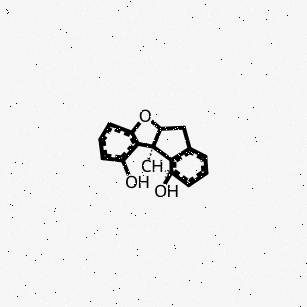 C[C@@]12c3c(O)cccc3CC1Oc1cccc(O)c12